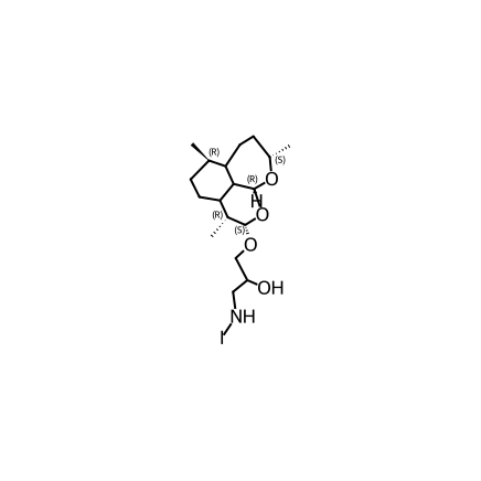 C[C@@H]1CCC2C3C1CC[C@H](C)O[C@@H]3O[C@H](OCC(O)CNI)[C@@H]2C